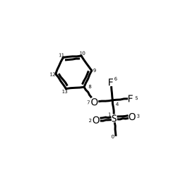 CS(=O)(=O)C(F)(F)Oc1ccccc1